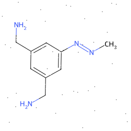 C/N=N/c1cc(CN)cc(CN)c1